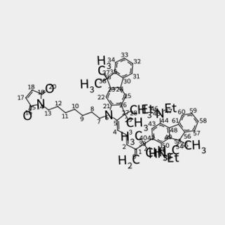 C=C(/C=C/C=C1/N(CCCCCCCN2C(=O)C=CC2=O)c2cc3c(cc2C1(C)C)-c1ccccc1C3(C)C)C(C)(C)c1cc(N(CC)CC)c2c(c1NCC)C(C)(C)c1ccccc1-2